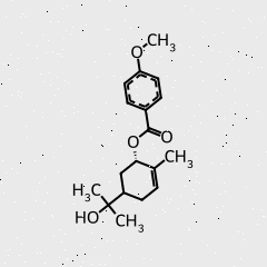 COc1ccc(C(=O)O[C@H]2CC(C(C)(C)O)CC=C2C)cc1